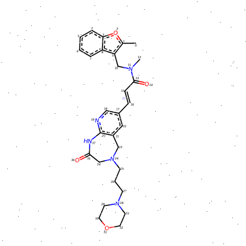 Cc1oc2ccccc2c1CN(C)C(=O)/C=C/c1cnc2c(c1)CN(CCCN1CCOCC1)CC(=O)N2